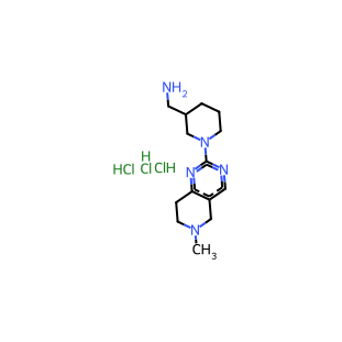 CN1CCc2nc(N3CCCC(CN)C3)ncc2C1.Cl.Cl.Cl